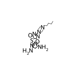 CCCCCN1CCN(c2nc(OC)c(Sc3nc(N)cc(N)n3)c(OC)n2)CC1